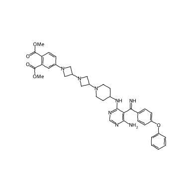 COC(=O)c1ccc(N2CC(N3CC(N4CCC(Nc5ncnc(N)c5C(=N)c5ccc(Oc6ccccc6)cc5)CC4)C3)C2)cc1C(=O)OC